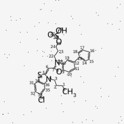 CCCCN1C(=Cc2oc3ccc(-c4ccccc4)cc3[n+]2CCCOS(=O)O)Sc2ccc(Cl)cc21